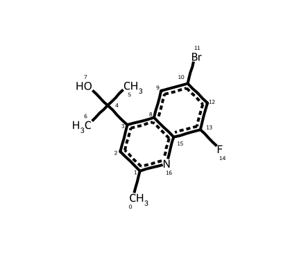 Cc1cc(C(C)(C)O)c2cc(Br)cc(F)c2n1